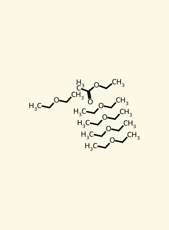 CCOC(C)=O.CCOCC.CCOCC.CCOCC.CCOCC.CCOCC